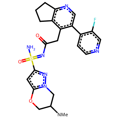 CNC1COc2cc(S(N)(=O)=NC(=O)Cc3c(-c4ccncc4F)cnc4c3CCC4)nn2C1